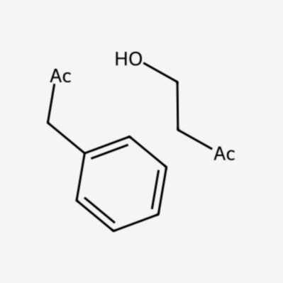 CC(=O)CCO.CC(=O)Cc1ccccc1